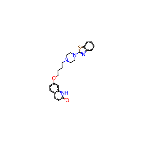 O=c1ccc2ccc(OCCCCN3CCN(c4nc5ccccc5s4)CC3)cc2[nH]1